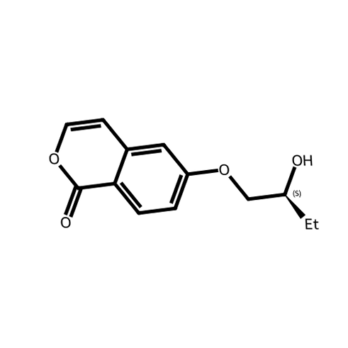 CC[C@H](O)COc1ccc2c(=O)occc2c1